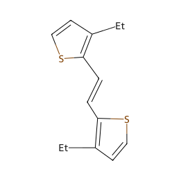 CCc1ccsc1/C=C/c1sccc1CC